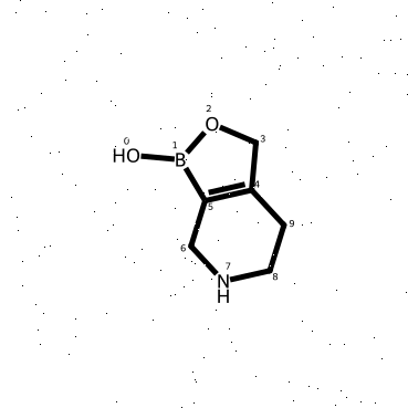 OB1OCC2=C1CNCC2